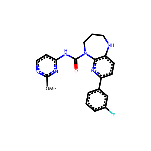 COc1nccc(NC(=O)N2CCCNc3ccc(-c4cccc(F)c4)nc32)n1